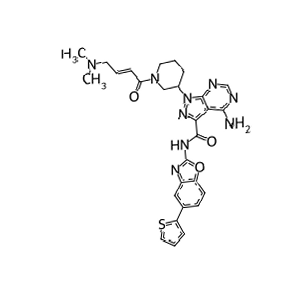 CN(C)C/C=C/C(=O)N1CCCC(n2nc(C(=O)Nc3nc4cc(-c5cccs5)ccc4o3)c3c(N)ncnc32)C1